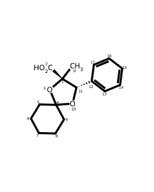 C[C@@]1(C(=O)O)OC2(CCCCC2)O[C@H]1c1ccccc1